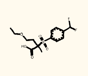 CCOCCC(C)(C(=O)O)S(=O)(=O)c1ccc(C(F)F)cc1